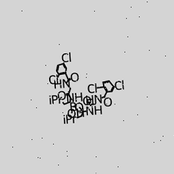 CC(C)CC(NC(=O)CNC(=O)c1cc(Cl)ccc1Cl)OB(O)C(CC(C)C)NC(=O)CNC(=O)c1cc(Cl)ccc1Cl